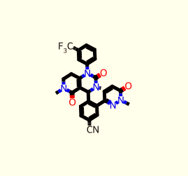 CN1CCC2=C(C1=O)C(c1ccc(C#N)cc1-c1ccc(=O)n(C)n1)N(C)C(=O)N2c1cccc(C(F)(F)F)c1